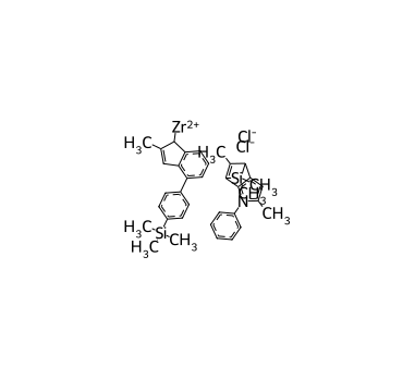 CC1=C2c3c(cc(C)n3-c3ccccc3)C1[Si]2(C)C.CC1=Cc2c(-c3ccc([Si](C)(C)C)cc3)cccc2[CH]1[Zr+2].[Cl-].[Cl-]